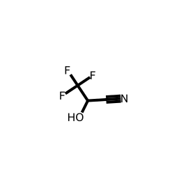 N#CC(O)C(F)(F)F